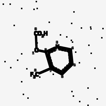 O=C(O)Oc1ncccc1C(F)(F)F